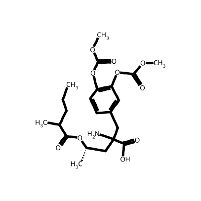 CCCC(C)C(=O)O[C@@H](C)CC(N)(Cc1ccc(OC(=O)OC)c(OC(=O)OC)c1)C(=O)O